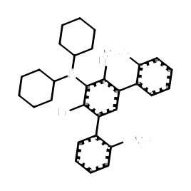 COc1ccccc1-c1cc(-c2ccccc2OC)c(C(C)C)c(P(C2CCCCC2)C2CCCCC2)c1C(C)C